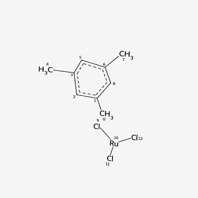 Cc1cc(C)cc(C)c1.[Cl][Ru]([Cl])[Cl]